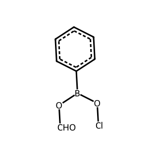 O=COB(OCl)c1ccccc1